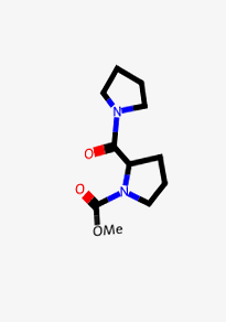 COC(=O)N1CCCC1C(=O)N1CCCC1